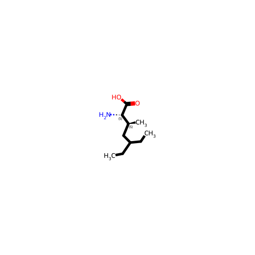 CCC(CC)C[C@H](C)[C@H](N)C(=O)O